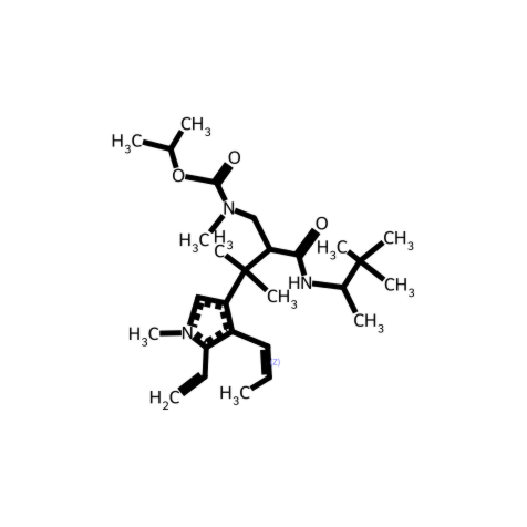 C=Cc1c(/C=C\C)c(C(C)(C)C(CN(C)C(=O)OC(C)C)C(=O)NC(C)C(C)(C)C)cn1C